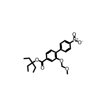 CCC(CC)(CC)OC(=O)c1ccc(-c2ccc([N+](=O)[O-])cc2)c(OCOC)c1